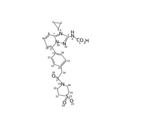 C1CC1.O=C(O)Nc1nc2cccc(-c3ccc(CC(=O)N4CCS(=O)(=O)CC4)cc3)n2n1